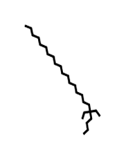 CCCCCCCCCCCCCCCCCCC(CC)(CC)CCCC